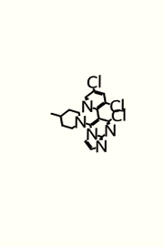 CC1CCN(c2c(-c3ncc(Cl)cc3Cl)c(Cl)nc3nccn23)CC1